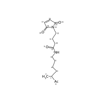 CC(=O)C(C)CCCCNC(=O)CCCN1C(=O)C=CC1=O